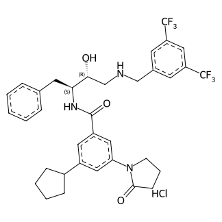 Cl.O=C(N[C@@H](Cc1ccccc1)[C@H](O)CNCc1cc(C(F)(F)F)cc(C(F)(F)F)c1)c1cc(C2CCCC2)cc(N2CCCC2=O)c1